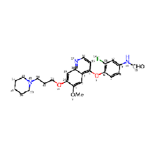 COc1cc2c(Oc3ccc(NC=O)cc3F)ccnc2cc1OCCCN1CCCCC1